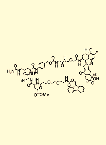 CC[C@@]1(O)C(=O)OCc2c1cc1n(c2=O)Cc2c-1nc1cc(F)c(C)c3c1c2[C@@H](NC(=O)COCNC(=O)CNC(=O)OCc1ccc(NC(=O)[C@H](CCCNC(N)=O)NC(=O)[C@@H](NC(=O)[C@H](CCC(=O)OC)NC(=O)CCOCCOCCNC(=O)OCC2c4ccccc4-c4ccccc42)C(C)C)cc1)CC3